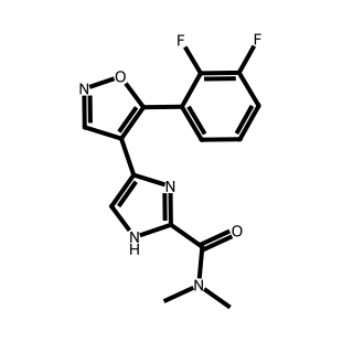 CN(C)C(=O)c1nc(-c2cnoc2-c2cccc(F)c2F)c[nH]1